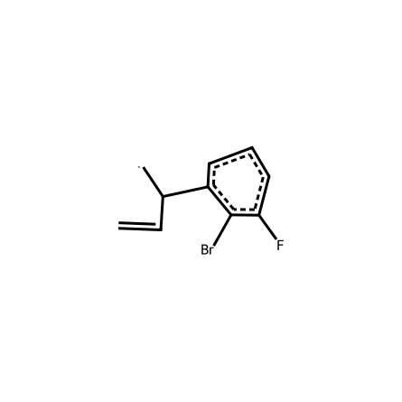 [CH2]C(C=C)c1cccc(F)c1Br